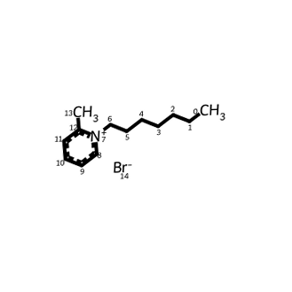 CCCCCCC[n+]1ccccc1C.[Br-]